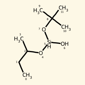 CCC(C)O[SiH](O)OC(C)(C)C